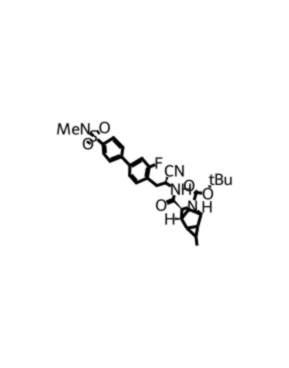 CNS(=O)(=O)c1ccc(-c2ccc(C[C@@H](C#N)NC(=O)[C@@H]3[C@@H]4C[C@@H](C5C(C)C54)N3C(=O)OC(C)(C)C)c(F)c2)cc1